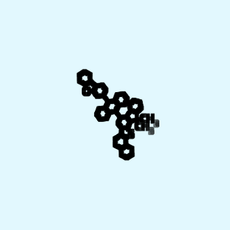 CC1(C)c2ccccc2-c2c(-c3c4ccccc4c(-c4ccc5c(c4)oc4ccccc45)c4ccccc34)cc3c(sc4c5ccccc5ccc34)c21